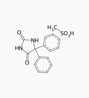 CS(=O)(=O)O.O=C1NC(=O)C(c2ccccc2)(c2ccccc2)N1